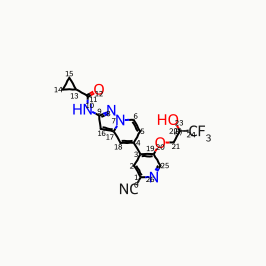 N#Cc1cc(-c2ccn3nc(NC(=O)C4CC4)cc3c2)c(OC[C@@H](O)C(F)(F)F)cn1